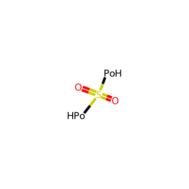 O=[S](=O)([PoH])[PoH]